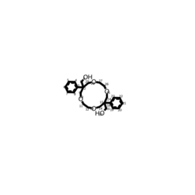 OCC1(c2ccccc2)COCCOCC(CO)(c2ccccc2)COCCOC1